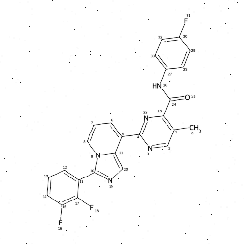 Cc1cnc(-c2cccn3c(-c4cccc(F)c4F)ncc23)nc1C(=O)Nc1ccc(F)cc1